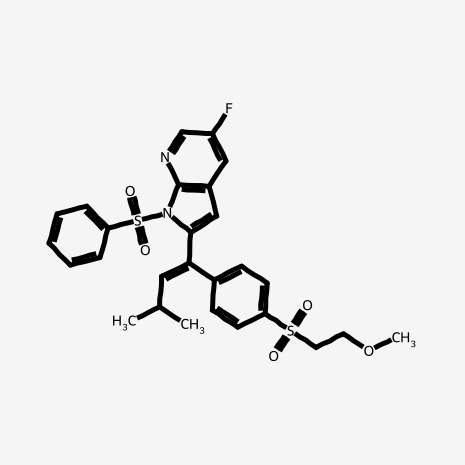 COCCS(=O)(=O)c1ccc(C(=CC(C)C)c2cc3cc(F)cnc3n2S(=O)(=O)c2ccccc2)cc1